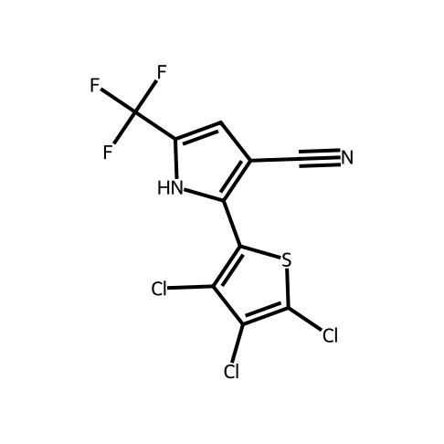 N#Cc1cc(C(F)(F)F)[nH]c1-c1sc(Cl)c(Cl)c1Cl